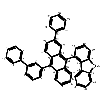 c1ccc(-c2cccc(-c3c4ccccc4c(-c4cccc5oc6ccccc6c45)c4cc(-c5ccccc5)ccc34)c2)cc1